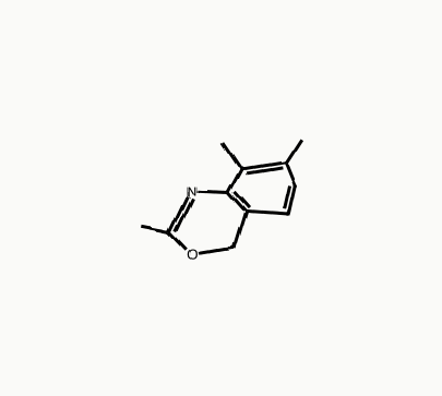 CC1=Nc2c(ccc(C)c2C)CO1